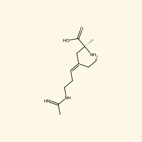 CC(=N)NCC/C=C(\CF)C[C@](C)(N)C(=O)O